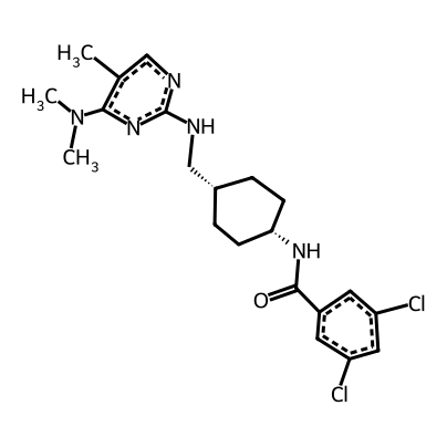 Cc1cnc(NC[C@H]2CC[C@@H](NC(=O)c3cc(Cl)cc(Cl)c3)CC2)nc1N(C)C